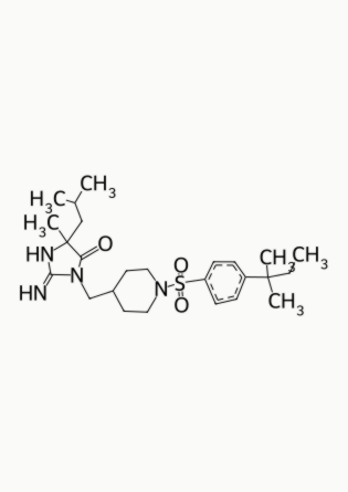 CCC(C)(C)c1ccc(S(=O)(=O)N2CCC(CN3C(=N)NC(C)(CC(C)C)C3=O)CC2)cc1